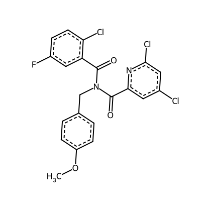 COc1ccc(CN(C(=O)c2cc(Cl)cc(Cl)n2)C(=O)c2cc(F)ccc2Cl)cc1